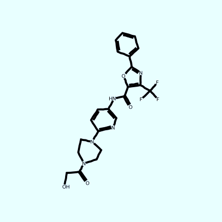 O=C(Nc1ccc(N2CCN(C(=O)CO)CC2)nc1)c1oc(-c2ccccc2)nc1C(F)(F)F